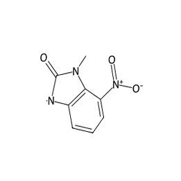 CN1C(=O)[N]c2cccc([N+](=O)[O-])c21